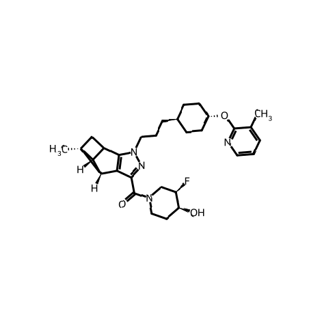 Cc1cccnc1O[C@H]1CC[C@H](CCCn2nc(C(=O)N3CC[C@H](O)[C@H](F)C3)c3c2C2C[C@@]4(C)[C@H]2[C@H]34)CC1